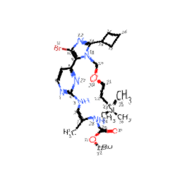 CC(CNc1nccc(-c2c(Br)nc(C3CCC3)n2COCC[Si](C)(C)C)n1)NC(=O)OC(C)(C)C